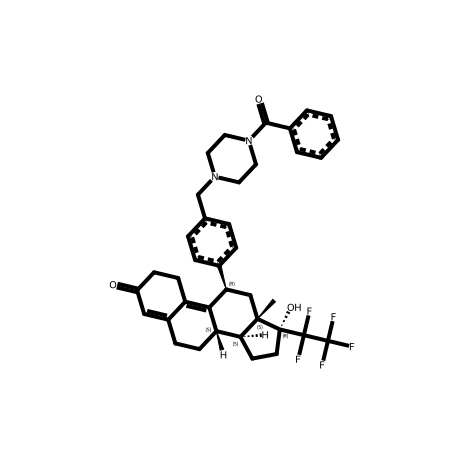 C[C@]12C[C@H](c3ccc(CN4CCN(C(=O)c5ccccc5)CC4)cc3)C3=C4CCC(=O)C=C4CC[C@H]3[C@@H]1CC[C@]2(O)C(F)(F)C(F)(F)F